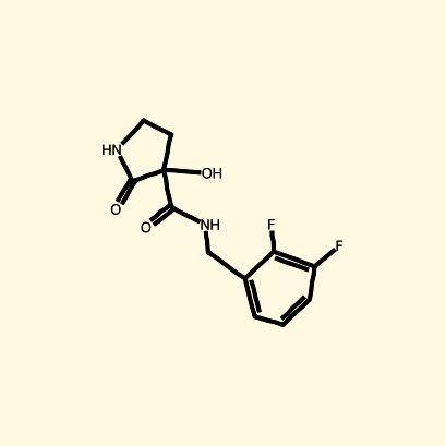 O=C1NCCC1(O)C(=O)NCc1cccc(F)c1F